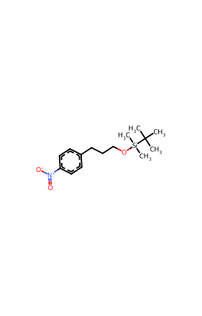 CC(C)(C)[Si](C)(C)OCCCc1ccc([N+](=O)[O-])cc1